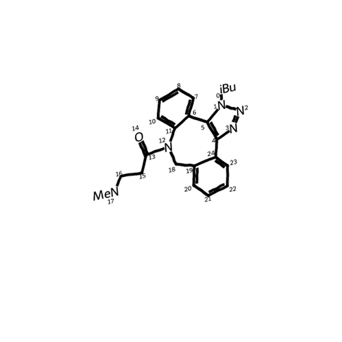 CCC(C)n1nnc2c1-c1ccccc1N(C(=O)CCNC)Cc1ccccc1-2